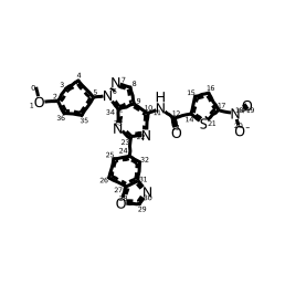 COc1ccc(-n2ncc3c(NC(=O)c4ccc([N+](=O)[O-])s4)nc(-c4ccc5ocnc5c4)nc32)cc1